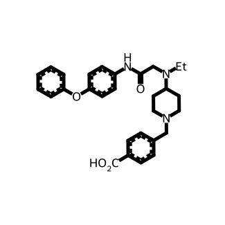 CCN(CC(=O)Nc1ccc(Oc2ccccc2)cc1)C1CCN(Cc2ccc(C(=O)O)cc2)CC1